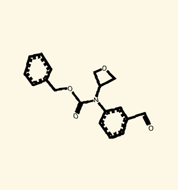 O=Cc1cccc(N(C(=O)OCc2ccccc2)C2COC2)c1